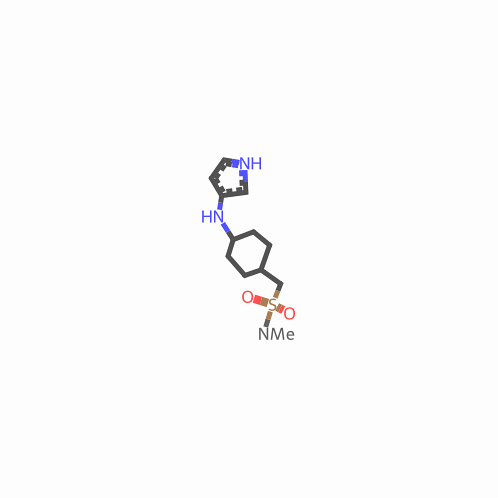 CNS(=O)(=O)CC1CCC(Nc2cc[nH]c2)CC1